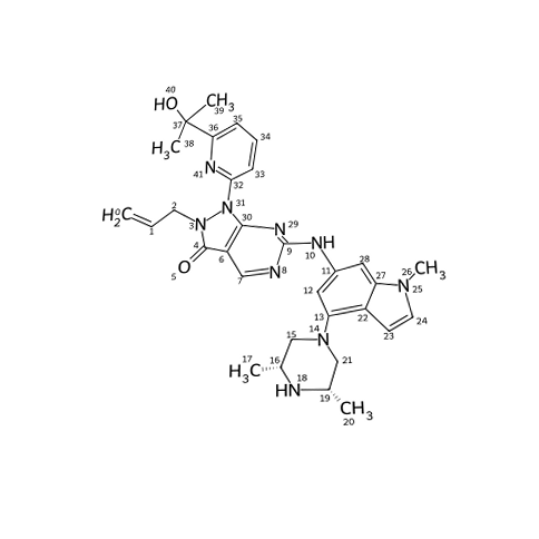 C=CCn1c(=O)c2cnc(Nc3cc(N4C[C@@H](C)N[C@@H](C)C4)c4ccn(C)c4c3)nc2n1-c1cccc(C(C)(C)O)n1